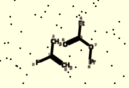 C=C(C)F.CCC(=O)OC(C)C